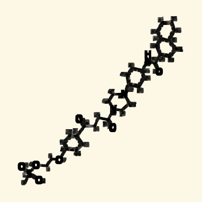 CS(=O)(=O)OCCOc1ccc(C(=O)CCC(=O)N2CCN(c3ccc(NC(=O)c4ccc5ccccc5c4)cc3)CC2)cc1